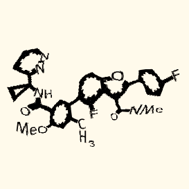 CNC(=O)c1c(-c2ccc(F)cc2)oc2ccc(-c3cc(C(=O)NC4(c5cccnn5)CC4)c(OC)cc3C)c(F)c12